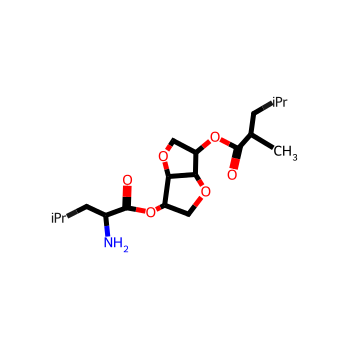 CC(C)CC(C)C(=O)OC1COC2C(OC(=O)C(N)CC(C)C)COC12